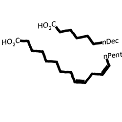 CCCCC/C=C\C/C=C\CCCCCCCC(=O)O.CCCCCCCCCCCCCCCC(=O)O